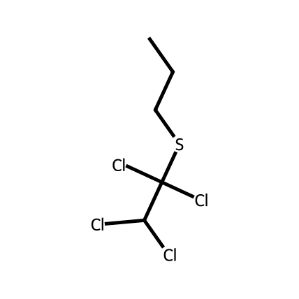 CCCSC(Cl)(Cl)C(Cl)Cl